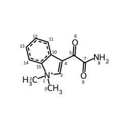 C[N+]1(C)C=C(C(=O)C(N)=O)c2ccccc21